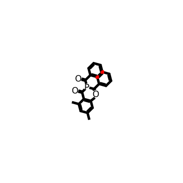 Cc1cc(C)c(C(=O)P(C(=O)c2ccccc2)C(=O)c2ccccc2)c(C)c1